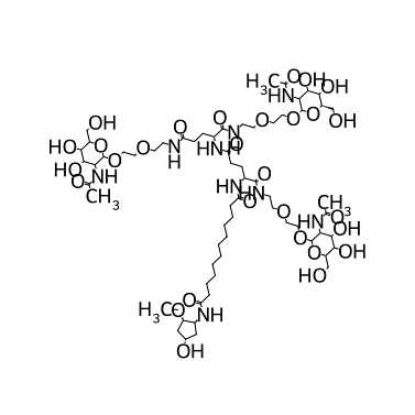 CO[C@@H]1C[C@@H](O)C[C@@H]1NC(=O)CCCCCCCCCCC(=O)NC(CCC(=O)NC(CCC(=O)NCCOCCOC1OC(CO)C(O)C(O)C1NC(C)=O)C(=O)NCCOCCOC1O[C@H](CO)C(O)C(O)C1NC(C)=O)C(=O)NCCOCCOC1OC(CO)C(O)C(O)C1NC(C)=O